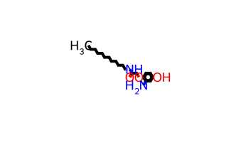 CCCCCCCCCCCCNC(=O)COc1ccc(O)cc1N